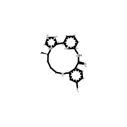 C[C@@H]1CCCOc2cc(F)ccc2C(=O)Nc2cccc(n2)-c2nncn21